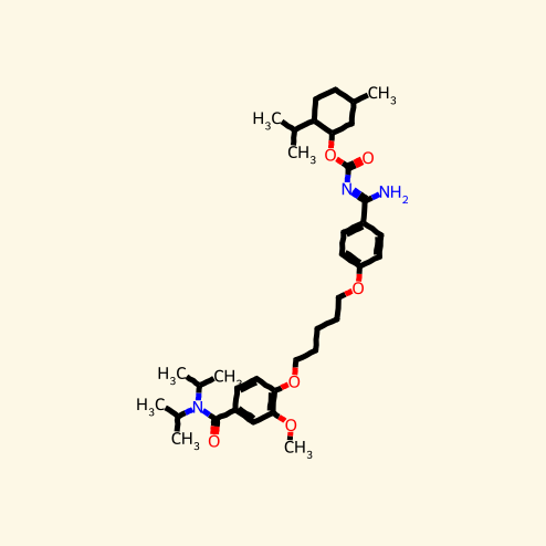 COc1cc(C(=O)N(C(C)C)C(C)C)ccc1OCCCCCOc1ccc(C(N)=NC(=O)OC2CC(C)CCC2C(C)C)cc1